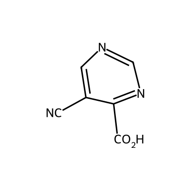 N#Cc1cncnc1C(=O)O